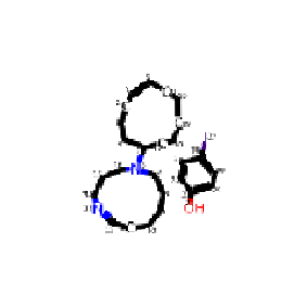 C1=CCCCC(N2CCCCCC=NCCC2)CCCCC1.Oc1ccc(I)cc1